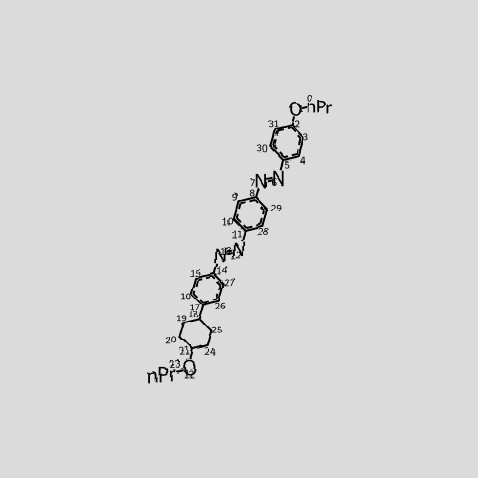 CCCOc1ccc(/N=N/c2ccc(/N=N/c3ccc(C4CCC(OCCC)CC4)cc3)cc2)cc1